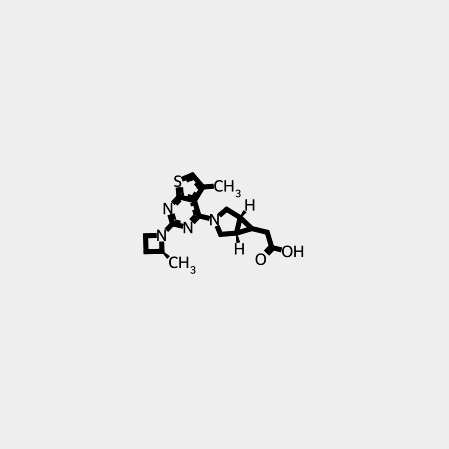 Cc1csc2nc(N3CC[C@@H]3C)nc(N3C[C@@H]4C(CC(=O)O)[C@@H]4C3)c12